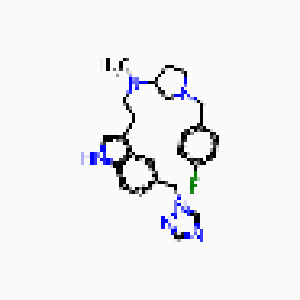 CN(CCc1c[nH]c2ccc(Cn3cncn3)cc12)C1CCN(Cc2ccc(F)cc2)C1